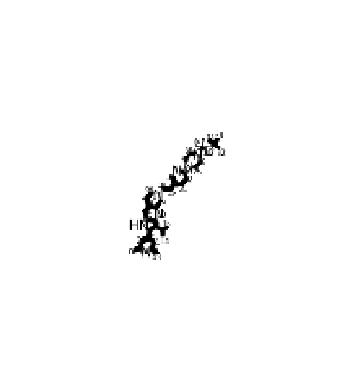 Cc1cc(-c2[nH]c3cc4c(nc3c2C(C)C)CN(CCc2ccc(N3CCN(C(=O)OC(C)(C)C)CC3)nc2)CC4)cc(C)n1